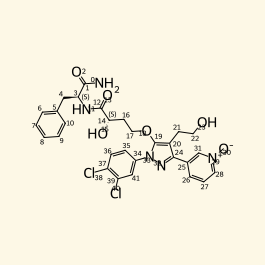 NC(=O)[C@H](Cc1ccccc1)NC(=O)[C@@H](O)CCOc1c(CCO)c(-c2ccc[n+]([O-])c2)nn1-c1ccc(Cl)c(Cl)c1